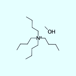 CCCC[N+](CCCC)(CCCC)CCCC.CO